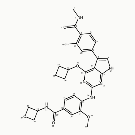 CNC(=O)c1ccc(-c2c[nH]c3nc(Nc4ccc(C(=O)NC5COC5)cc4OC)nc(OC4CCC4)c23)cc1F